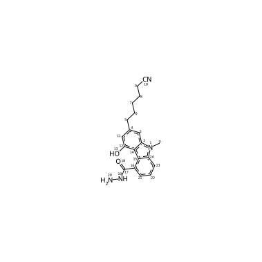 Cn1c2cc(CCCCCC#N)cc(O)c2c2c(C(=O)NN)cccc21